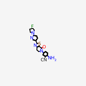 N#Cc1cc(N2CCc3nc(-c4ccc(N5CCC(F)C5)nc4)sc3C2=O)ccc1N